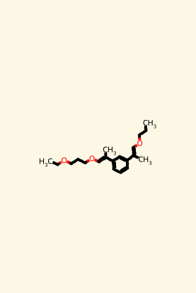 CCCOC=C(C)c1cccc(C(C)=COCCCOCC)c1